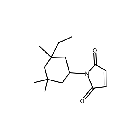 CCC1(C)CC(N2C(=O)C=CC2=O)CC(C)(C)C1